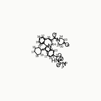 CN(C)S(=O)(=O)NC(=O)c1ccc2c(C3CCCCC3)c3n(c2c1)CC(C(=O)N1CCC(=O)CC1)=Cc1ccccc1-3